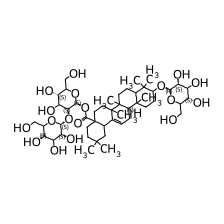 CC1(C)CCC2(C(=O)O[C@@H]3OC(CO)[C@@H](O)C(O)[C@@H]3O[C@@H]3OC(CO)[C@H](O)C(O)[C@@H]3O)CCC3(C)C(=CC[C@@H]4C5(C)CCC(O[C@@H]6OC(CO)[C@@H](O)C(O)[C@@H]6O)C(C)(C)C5CCC43C)C2C1